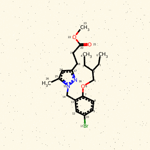 CCC(CC)COc1ccc(Br)cc1Cn1nc(CCC(=O)OC)cc1C